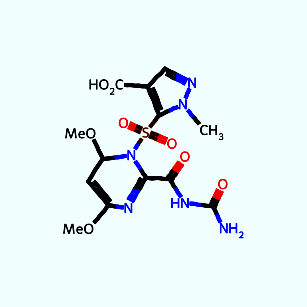 COC1=CC(OC)N(S(=O)(=O)c2c(C(=O)O)cnn2C)C(C(=O)NC(N)=O)=N1